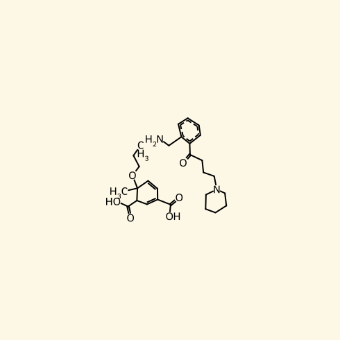 CCCOC1(C)C=CC(C(=O)O)=CC1C(=O)O.NCc1ccccc1C(=O)CCCN1CCCCC1